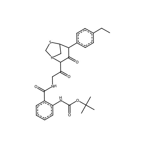 CCc1ccc(C2C(=O)C(C(=O)CNC(=O)c3ccccc3NC(=O)OC(C)(C)C)N3CSC2C3)cc1